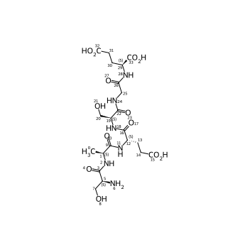 C[C@H](NC(=O)[C@@H](N)CO)C(=O)N[C@@H](CCC(=O)O)C(=O)N[C@@H](CO)C(=O)NCC(=O)N[C@@H](CCC(=O)O)C(=O)O